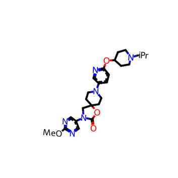 COc1ncc(N2CC3(CCN(c4ccc(OC5CCN(C(C)C)CC5)nc4)CC3)OC2=O)cn1